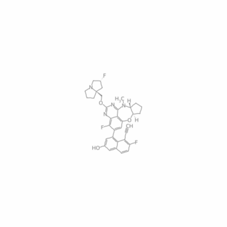 C#Cc1c(F)ccc2cc(O)cc(-c3cc4c5c(nc(OC[C@@]67CCCN6C[C@H](F)C7)nc5c3F)N(C)[C@@H]3CCC[C@H]3O4)c12